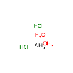 Cl.Cl.O.O.[AlH3]